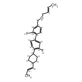 CC=CCOCc1ccc(-c2ccc(C3CCC(/C=C/C)CC3)c(F)c2)c(F)c1